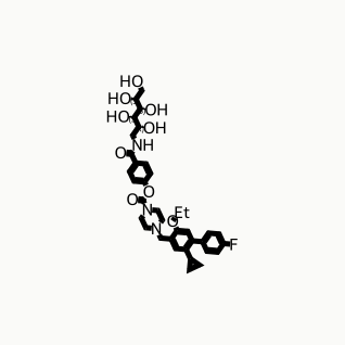 CCOc1cc(-c2ccc(F)cc2)c(C2CC2)cc1CN1CCN(C(=O)Oc2ccc(C(=O)NC[C@@H](O)[C@H](O)[C@@H](O)[C@@H](O)CO)cc2)CC1